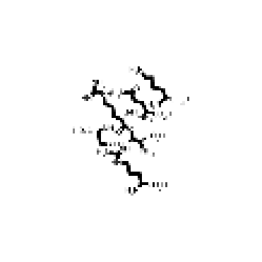 CC(C)C[C@H](N)C(=O)O.C[C@@H](OC(=O)[C@@H](N)CCCNC(=N)N)[C@H](N)C(=O)O.N=C(N)NCCC[C@H](N)C(=O)O.NC(=O)CC[C@H](N)C(=O)O.NCCCC[C@H](N)C(=O)O